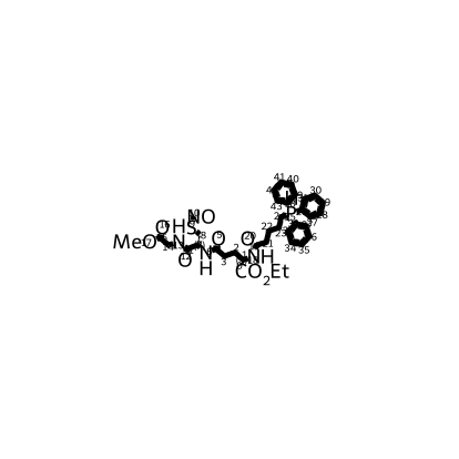 CCOC(=O)[C@H](CCC(=O)N[C@@H](CSN=O)C(=O)NCC(=O)OC)NC(=O)CCCC[PH](c1ccccc1)(c1ccccc1)c1ccccc1